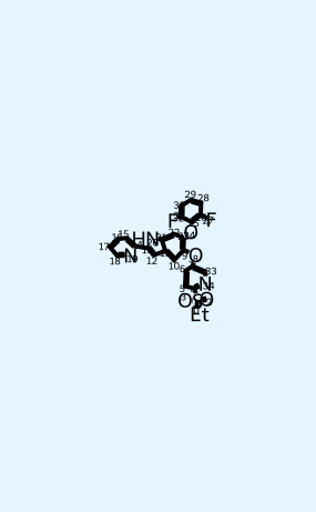 CCS(=O)(=O)c1ccc(Oc2cc3cc(-c4ccccn4)[nH]c3cc2Oc2c(F)cccc2F)cn1